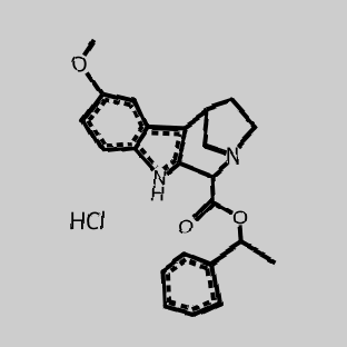 COc1ccc2[nH]c3c(c2c1)C1CCN(C1)C3C(=O)OC(C)c1ccccc1.Cl